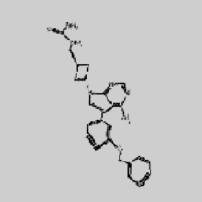 NC(=O)NC[C@H]1C[C@H](n2cc(-c3cccc(OCc4ccccc4)c3)c3c(N)ncnc32)C1